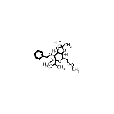 COOC[C@H]1O[C@](OC)(C(C)C)[C@H](OCc2ccccc2)[C@H]2OC(C)(C)O[C@H]21